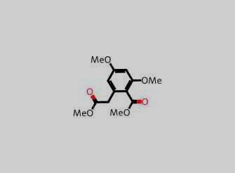 COC(=O)Cc1cc(OC)cc(OC)c1C(=O)OC